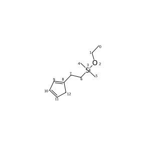 CCO[Si](C)(C)CCC1=CC=CC1